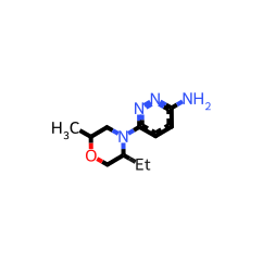 CCC1COC(C)CN1c1ccc(N)nn1